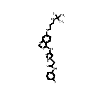 [CH2]CC(C)(C)NCCCOc1ccc2c(Nc3cc(CC(=O)Nc4cccc(F)c4)[nH]n3)ncnc2c1